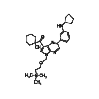 CC1(C(=O)c2cn(COCC[Si](C)(C)C)c3ncc(-c4cccc(NC5CCCC5)c4)nc23)CCCCC1